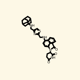 O=C1CCC(N2C(=O)c3cccc4c(NCc5nc(CNC67CC8CC(CC(C8)C6)C7)cs5)ccc2c34)C(=O)N1